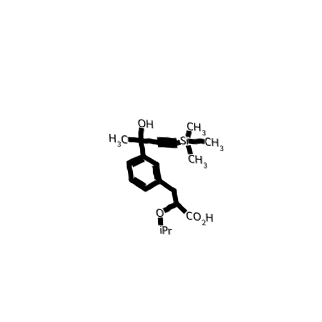 CC(C)OC(Cc1cccc(C(C)(O)C#C[Si](C)(C)C)c1)C(=O)O